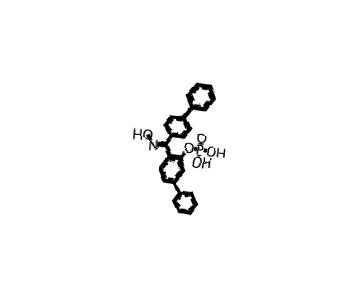 O=P(O)(O)Oc1cc(-c2ccccc2)ccc1C(=NO)c1ccc(-c2ccccc2)cc1